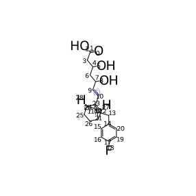 O=C(O)CC(O)CC(O)/C=C/C1[C@@H](Cc2ccc(F)cc2)C2C=C[C@H]1CC2